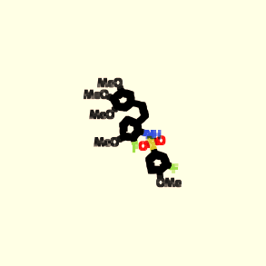 COc1ccc(S(=O)(=O)Nc2c(/C=C\c3cc(OC)c(OC)c(OC)c3)ccc(OC)c2F)cc1F